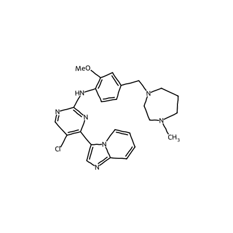 COc1cc(CN2CCCN(C)CC2)ccc1Nc1ncc(Cl)c(-c2cnc3ccccn23)n1